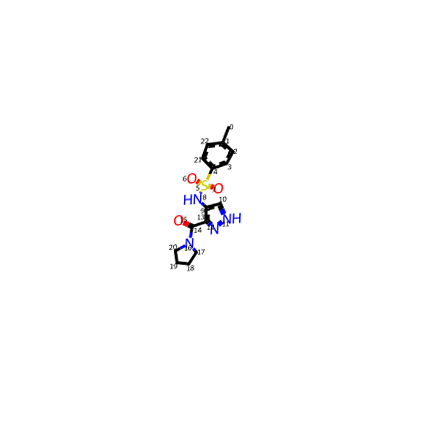 Cc1ccc(S(=O)(=O)Nc2c[nH]nc2C(=O)N2CCCC2)cc1